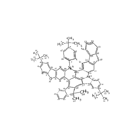 CC(C)(C)c1ccc(N2B3c4cc5c(cc4-n4c6ccc(C(C)(C)C)cc6c6c7c(c(c3c64)-c3cc4oc6ccc(C(C)(C)C)cc6c4cc32)-c2ccccc2C7(C)C)sc2ccccc25)cc1